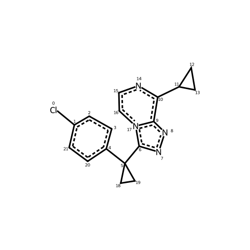 Clc1ccc(C2(c3nnc4c(C5CC5)nccn34)CC2)cc1